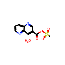 CS(=O)(=O)OC(=O)c1cnc2cccnc2c1.O